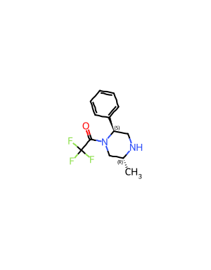 C[C@@H]1CN(C(=O)C(F)(F)F)[C@@H](c2ccccc2)CN1